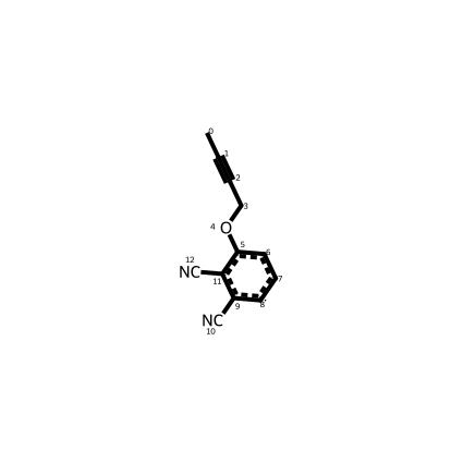 CC#CCOc1cc[c]c(C#N)c1C#N